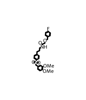 COc1ccc(CS(=O)(=O)c2ccc(CCCNC(=O)COCc3ccc(F)cc3)cc2)cc1OC